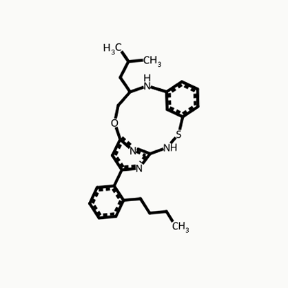 CCCCc1ccccc1-c1cc2nc(n1)NSc1cccc(c1)NC(CC(C)C)CO2